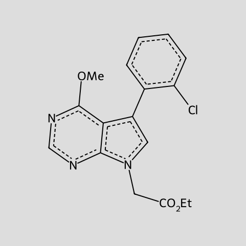 CCOC(=O)Cn1cc(-c2ccccc2Cl)c2c(OC)ncnc21